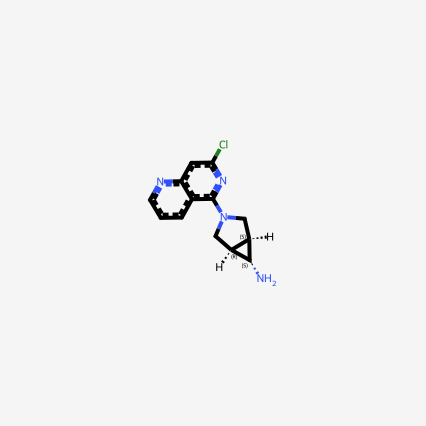 N[C@@H]1[C@H]2CN(c3nc(Cl)cc4ncccc34)C[C@@H]12